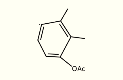 CC(=O)Oc1cc[c]c(C)c1C